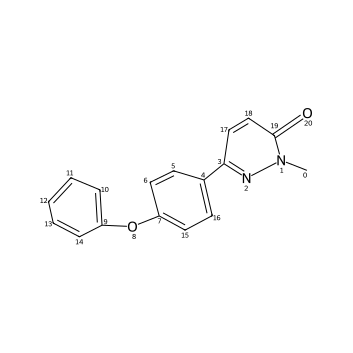 Cn1nc(-c2ccc(Oc3ccccc3)cc2)ccc1=O